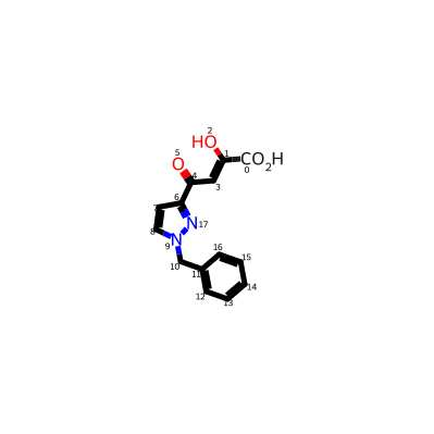 O=C(O)C(O)=CC(=O)c1ccn(Cc2ccccc2)n1